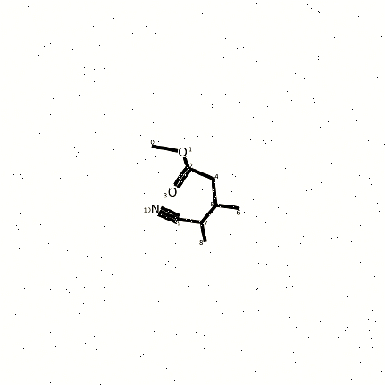 COC(=O)CC(C)C(C)C#N